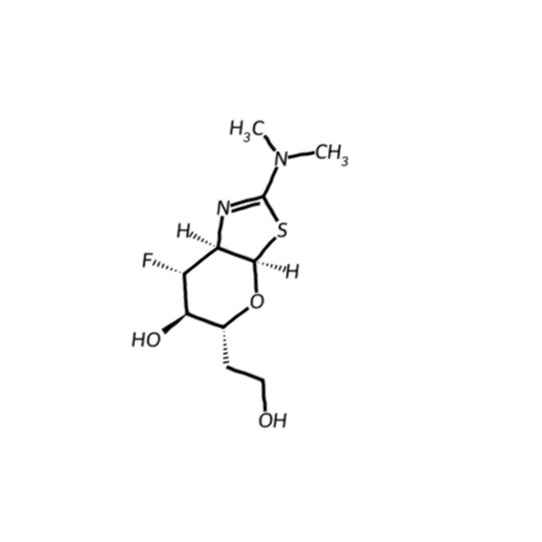 CN(C)C1=N[C@@H]2[C@@H](F)[C@H](O)[C@@H](CCO)O[C@@H]2S1